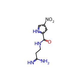 N=C(N)CCNC(=O)c1cc([N+](=O)[O-])c[nH]1